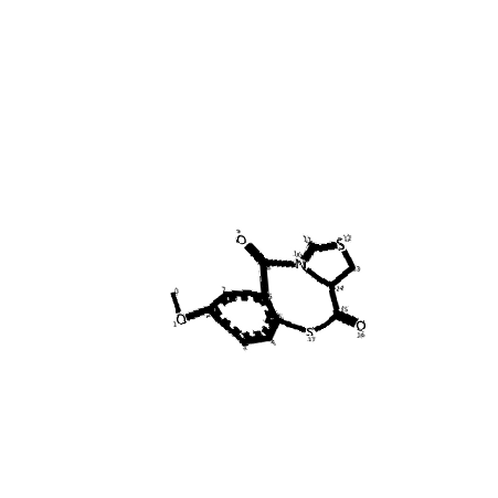 COc1ccc2c(c1)C(=O)N1CSCC1C(=O)S2